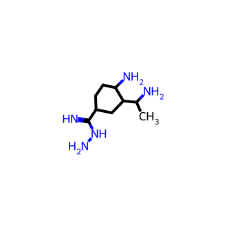 CC(N)C1CC(C(=N)NN)CCC1N